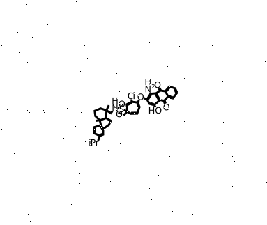 CC(C)c1ccc2c(c1)CCC1C(C)(CNS(=O)(=O)C3(C)C=CC=C(Oc4cc(O)c5c(c4N)C(=O)c4ccccc4C5=O)C(Cl)=C3)CCCC21C